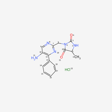 CC1NC(=O)N(Cc2ncc(N)c(-c3ccccc3)n2)C1=O.Cl